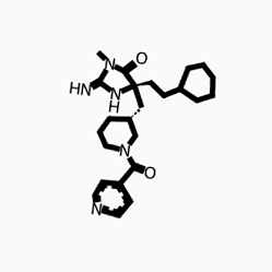 CN1C(=N)N[C@@](CCC2CCCCC2)(C[C@H]2CCCN(C(=O)c3ccncc3)C2)C1=O